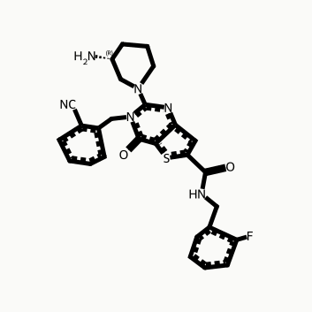 N#Cc1ccccc1Cn1c(N2CCC[C@@H](N)C2)nc2cc(C(=O)NCc3ccccc3F)sc2c1=O